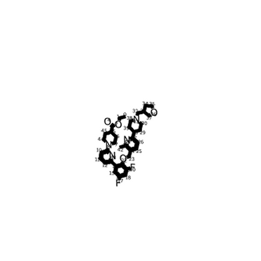 CCOC(=O)C1CCN(c2cccc(-c3cc(F)cc(F)c3OCc3ccc(C4CCN(CC5CCOC5)CC4)nc3C)n2)CC1